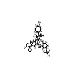 COC(=O)c1cc2n(n1)CC(C)(C(=O)NC1CCCC(C)CC1)N(Cc1ccc(OC(C)C)cc1)C2=O